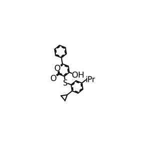 CC(C)c1ccc(C2CC2)c(Sc2c(O)cc(-c3ccccc3)oc2=O)c1